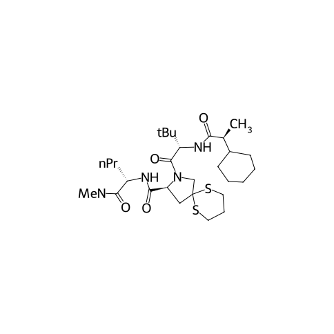 CCC[C@H](NC(=O)[C@@H]1CC2(CN1C(=O)[C@@H](NC(=O)[C@@H](C)C1CCCCC1)C(C)(C)C)SCCCS2)C(=O)NC